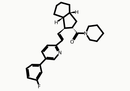 O=C([C@H]1C[C@H]2CCCC[C@H]2[C@@H]1/C=C/c1ccc(-c2cccc(F)c2)cn1)N1CCCCC1